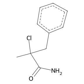 CC(Cl)(Cc1ccccc1)C(N)=O